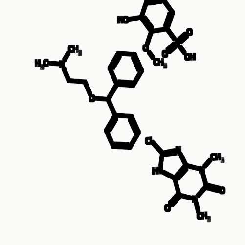 CN(C)CCOC(c1ccccc1)c1ccccc1.COc1c(O)cccc1S(=O)(=O)O.Cn1c(=O)c2[nH]c(Cl)nc2n(C)c1=O